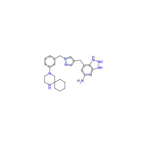 Nc1cc(Cc2cnn(Cc3cccc(N4CCNC5(CCCCC5)C4)c3)c2)c2c(n1)NNN2